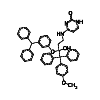 COc1ccc(C(c2ccccc2)(c2ccccc2)C(O)(CCNc2cc[nH]c(=O)n2)Oc2cccc(C(c3ccccc3)c3ccccc3)c2)cc1